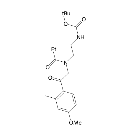 CCC(=O)N(CCNC(=O)OC(C)(C)C)CC(=O)c1ccc(OC)cc1C